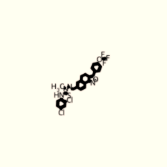 CN(N=Cc1ccc2c(c1)CCc1c-2noc1-c1ccc(OC(F)(F)F)cc1)C(=S)Nc1ccc(Cl)cc1Cl